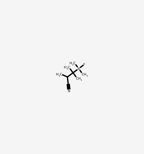 CC(C#N)C(C)(C)[Si](C)(C)F